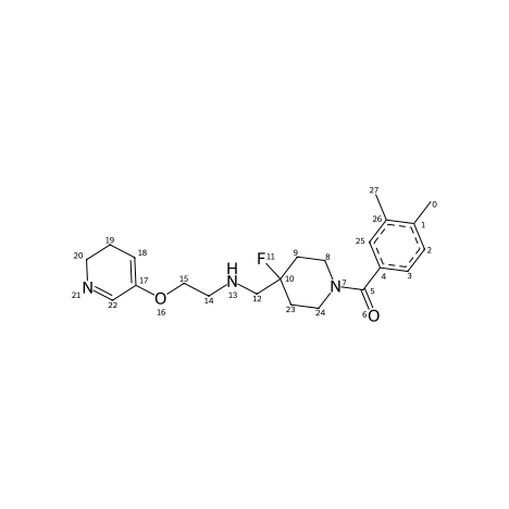 Cc1ccc(C(=O)N2CCC(F)(CNCCOC3=CCCN=C3)CC2)cc1C